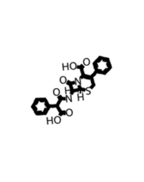 O=C(O)C1=C(c2ccccc2)CS[C@H]2C(NC(=O)C(C(=O)O)c3ccccc3)C(=O)N12